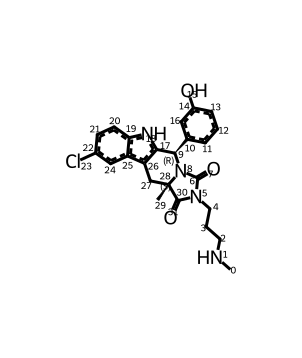 CNCCCN1C(=O)N2[C@H](c3cccc(O)c3)c3[nH]c4ccc(Cl)cc4c3C[C@@]2(C)C1=O